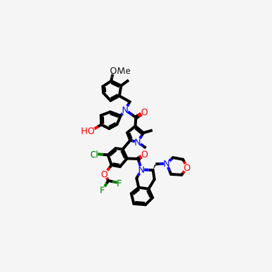 COc1cccc(CN(C(=O)c2cc(-c3cc(Cl)c(OC(F)F)cc3C(=O)N3Cc4ccccc4C[C@H]3CN3CCOCC3)n(C)c2C)c2ccc(O)cc2)c1C